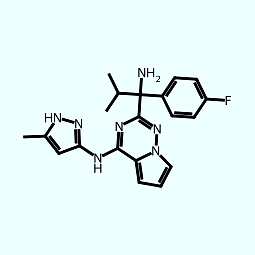 Cc1cc(Nc2nc(C(N)(c3ccc(F)cc3)C(C)C)nn3cccc23)n[nH]1